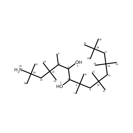 CC(C(O)C(O)C(C)(C)CC(C)(C)CC(C)(C)CC(C)(C)C)C(C)(C)CC(C)(C)N